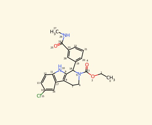 CCOC(=O)N1CCc2c([nH]c3ccc(Cl)cc23)C1c1cccc(C(=O)NC)c1